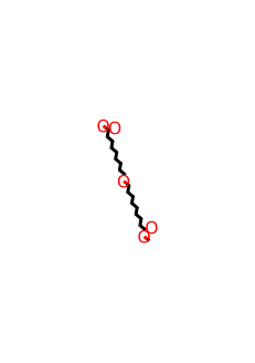 COC(=O)CCCCCCCCOCCCCCCCCC(=O)OC